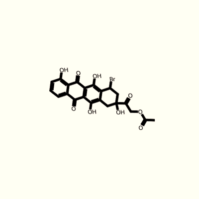 CC(=O)OCC(=O)C1(O)Cc2c(O)c3c(c(O)c2C(Br)C1)C(=O)c1c(O)cccc1C3=O